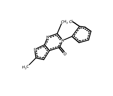 Cc1cc2c(=O)n(-c3ccccc3Cl)c(C)nc2s1